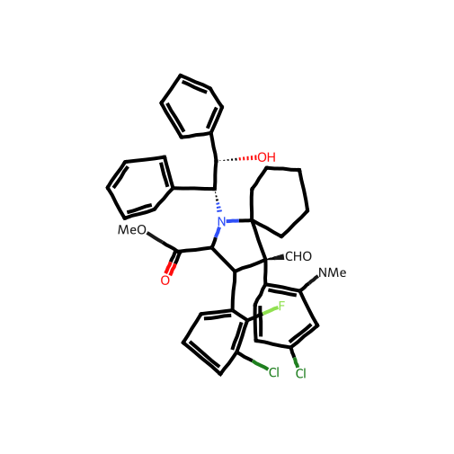 CNc1cc(Cl)ccc1[C@]1(C=O)C(c2cccc(Cl)c2F)C(C(=O)OC)N([C@H](c2ccccc2)[C@@H](O)c2ccccc2)C12CCCCC2